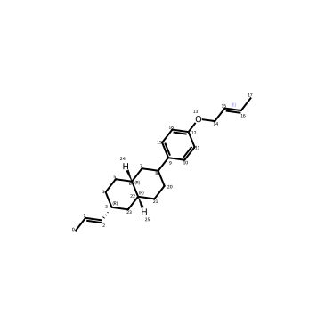 CC=C[C@@H]1CC[C@@H]2CC(c3ccc(OC/C=C/C)cc3)CC[C@@H]2C1